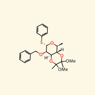 COC1(C)O[C@@H]2[C@@H](OC1(C)OC)[C@H](C)O[C@@H](Sc1ccccc1)[C@@H]2OCc1ccccc1